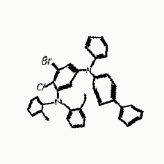 Cc1ccccc1N(c1ccccc1C)c1cc(N(c2ccccc2)c2ccc(-c3ccccc3)cc2)cc(Br)c1Cl